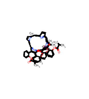 C=C(C)C(=O)Oc1ccccc1C1=CC2=CC3=NC(=CC4=NC(=CC5=NC(=C(c6ccccc6OC(=O)C(=C)C)C1=N2)C(c1ccccc1OC(=O)C(=C)C)=C5c1ccccc1OC(=O)C(=C)C)C=C4)C=C3.[Cu]